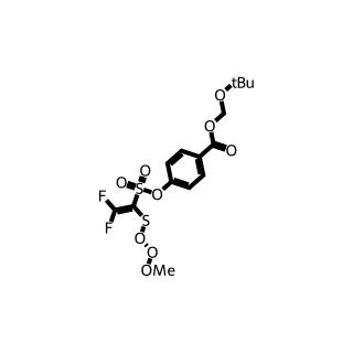 COOOSC(=C(F)F)S(=O)(=O)Oc1ccc(C(=O)OCOC(C)(C)C)cc1